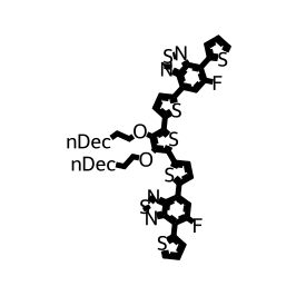 CCCCCCCCCCCCOc1c(-c2ccc(-c3cc(F)c(-c4cccs4)c4nsnc34)s2)sc(-c2ccc(-c3cc(F)c(-c4cccs4)c4nsnc34)s2)c1OCCCCCCCCCCCC